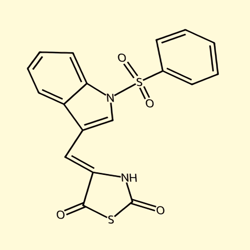 O=C1NC(=Cc2cn(S(=O)(=O)c3ccccc3)c3ccccc23)C(=O)S1